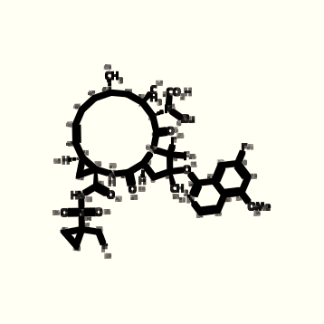 CCC(C)N(C(=O)O)[C@@H]1C(=O)N2[C@@H](C[C@@](C)(Oc3nccc4c(OC)cc(F)cc34)C2(F)F)C(=O)N[C@]2(C(=O)NS(=O)(=O)C3(CF)CC3)C[C@H]2/C=C\CC[C@H](C)C[C@H]1C